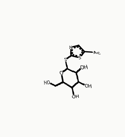 CC(=O)c1cnc(SC2OC(CO)C(O)C(O)C2O)s1